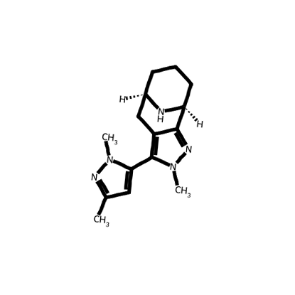 Cc1cc(-c2c3c(nn2C)[C@@H]2CCC[C@H](C3)N2)n(C)n1